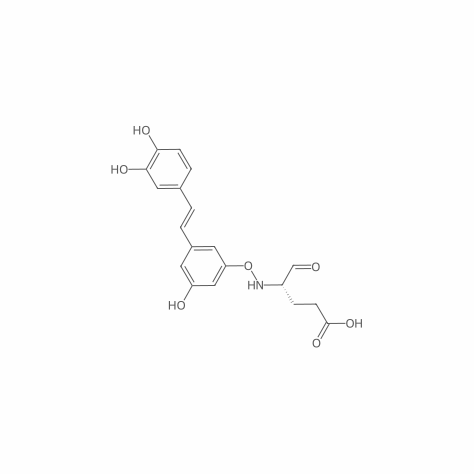 O=C[C@H](CCC(=O)O)NOc1cc(O)cc(/C=C/c2ccc(O)c(O)c2)c1